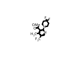 COC(=O)c1c(N2CCC(F)(F)CC2)ncc(C(F)(F)F)c1C